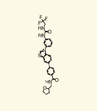 O=C(NCC(F)(F)F)Nc1cccc(-n2cnc3cc(-c4ccc(C(=O)NCC5CCCO5)cc4)ccc32)c1